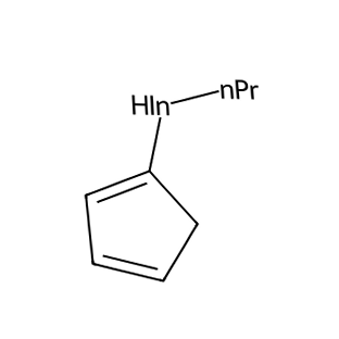 CC[CH2][InH][C]1=CC=CC1